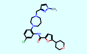 Cn1ccc(CN2CCCN(c3ccc(Cl)cc3NC(=O)c3ccc(C4CCOCC4)o3)CC2)n1